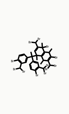 CC1C(Br)=C(C(Br)Br)C(C)C2=C1C(C)(Br)C(C(Br)Br)=CC2(C)C(C)(c1ccc(Br)c(C(Br)Br)c1)c1ccc(Br)c(C(Br)Br)c1